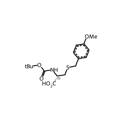 COc1ccc(CSC[C@@H](NC(=O)OC(C)(C)C)C(=O)O)cc1